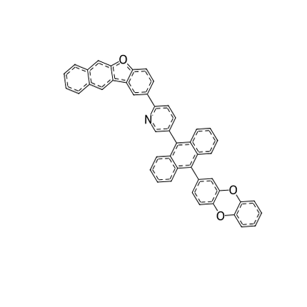 c1ccc2c(c1)Oc1ccc(-c3c4ccccc4c(-c4ccc(-c5ccc6oc7cc8ccccc8cc7c6c5)nc4)c4ccccc34)cc1O2